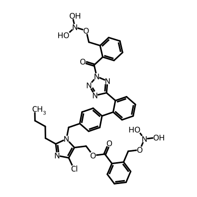 CCCCc1nc(Cl)c(COC(=O)c2ccccc2CON(O)O)n1Cc1ccc(-c2ccccc2-c2nnn(C(=O)c3ccccc3CON(O)O)n2)cc1